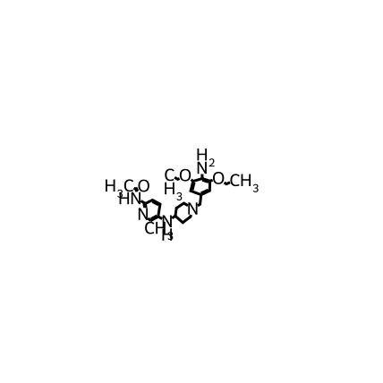 CCOc1cc(CN2CCC(Nc3ccc(NC(C)=O)nc3C)CC2)cc(OCC)c1N